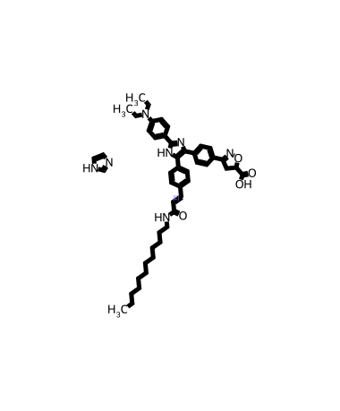 CCCCCCCCCCCCNC(=O)/C=C/c1ccc(-c2[nH]c(-c3ccc(N(CC)CC)cc3)nc2-c2ccc(C3=NOC(C(=O)O)C3)cc2)cc1.c1c[nH]cn1